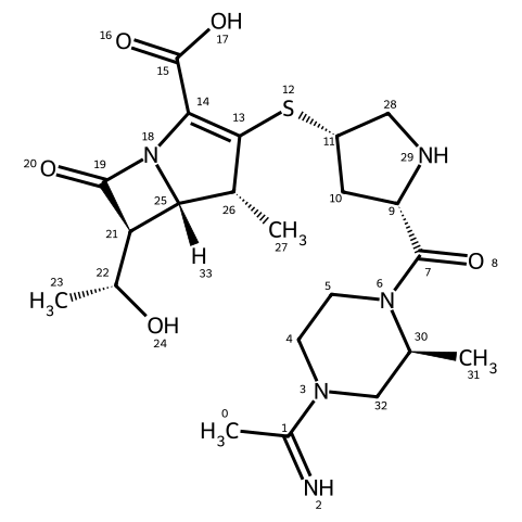 CC(=N)N1CCN(C(=O)[C@@H]2C[C@H](SC3=C(C(=O)O)N4C(=O)[C@H]([C@@H](C)O)[C@H]4[C@H]3C)CN2)[C@@H](C)C1